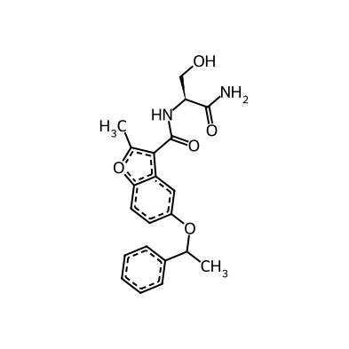 Cc1oc2ccc(OC(C)c3ccccc3)cc2c1C(=O)N[C@@H](CO)C(N)=O